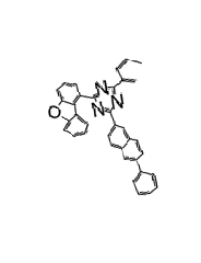 C=C(/C=C\C)c1nc(-c2ccc3cc(-c4ccccc4)ccc3c2)nc(-c2cccc3oc4ccccc4c23)n1